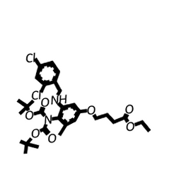 CCOC(=O)CCCOc1cc(C)c(N(C(=O)OC(C)(C)C)C(=O)OC(C)(C)C)c(NCc2ccc(Cl)cc2Cl)c1